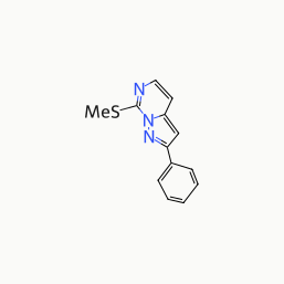 CSc1nccc2cc(-c3ccccc3)nn12